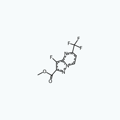 COC(=O)c1nn2ccc(C(F)(F)F)nc2c1F